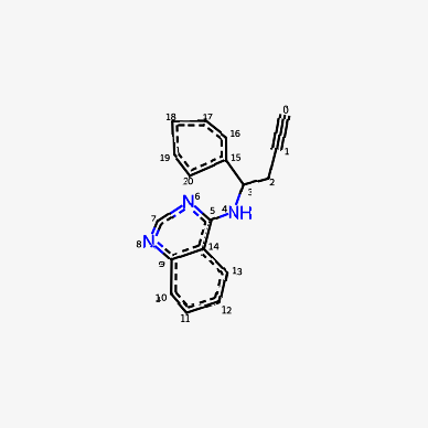 C#CCC(Nc1ncnc2ccccc12)c1ccccc1